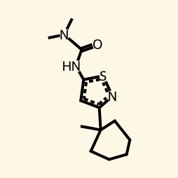 CN(C)C(=O)Nc1cc(C2(C)CCCCC2)ns1